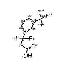 O=C(O)CC(F)(F)c1cccc(C(F)(F)F)c1